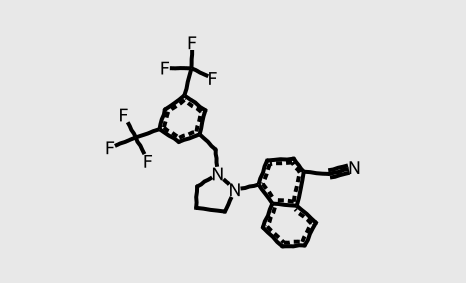 N#Cc1ccc(N2CCCN2Cc2cc(C(F)(F)F)cc(C(F)(F)F)c2)c2ccccc12